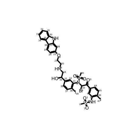 CS(=O)(=O)Nc1cc(C(=O)C(Br)N(c2cc(C(O)CNCCOc3ccc4c(c3)[nH]c3ccccc34)ccc2I)S(C)(=O)=O)ccc1I